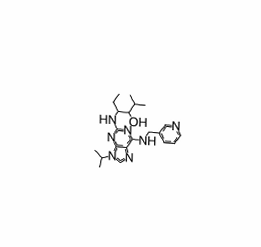 CCC(Nc1nc(NCc2cccnc2)c2ncn(C(C)C)c2n1)C(O)C(C)C